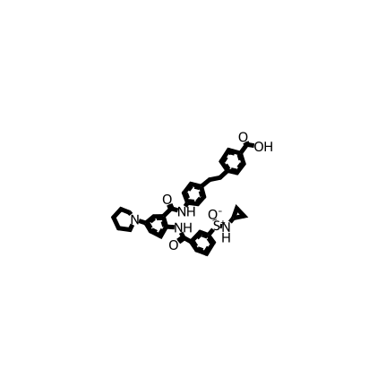 O=C(O)c1ccc(CCc2ccc(NC(=O)c3cc(N4CCCCC4)ccc3NC(=O)c3cccc([S+]([O-])NC4CC4)c3)cc2)cc1